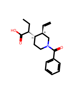 C=C[C@H]1CN(C(=O)c2ccccc2)CC[C@@H]1C(CC)C(=O)O